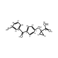 O=C(c1ccc(OC2(C(=O)O)CC2)cc1)c1cccc(F)c1